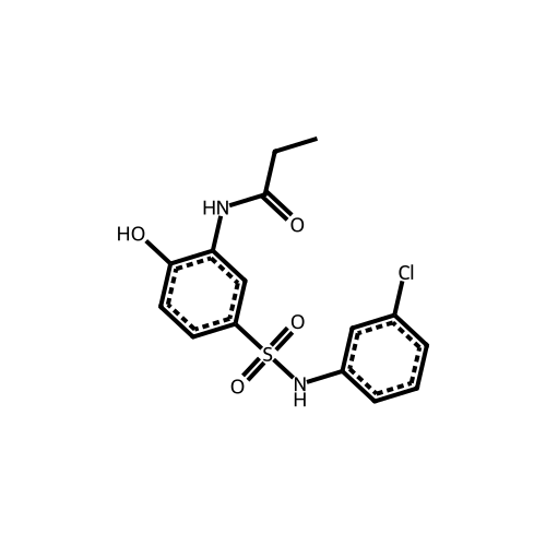 CCC(=O)Nc1cc(S(=O)(=O)Nc2cccc(Cl)c2)ccc1O